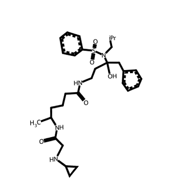 CC(C)CN(C(O)(CCNC(=O)CCCC(C)NC(=O)CNC1CC1)Cc1ccccc1)S(=O)(=O)c1ccccc1